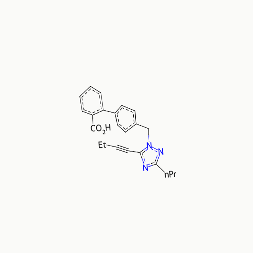 CCC#Cc1nc(CCC)nn1Cc1ccc(-c2ccccc2C(=O)O)cc1